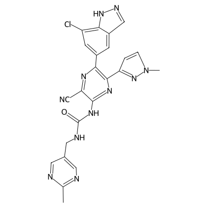 Cc1ncc(CNC(=O)Nc2nc(-c3ccn(C)n3)c(-c3cc(Cl)c4[nH]ncc4c3)nc2C#N)cn1